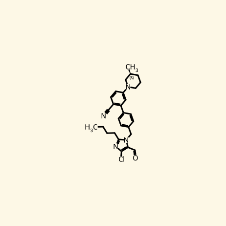 CCCCc1nc(Cl)c(C=O)n1Cc1ccc(-c2cc(N3CCC[C@H](C)C3)ccc2C#N)cc1